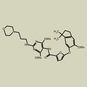 COc1cc2c(cc1Oc1ccc(C(=O)Nc3c(OC)nc(NCCCN4CCOCC4)nc3OC)o1)C(C)(C)CC2